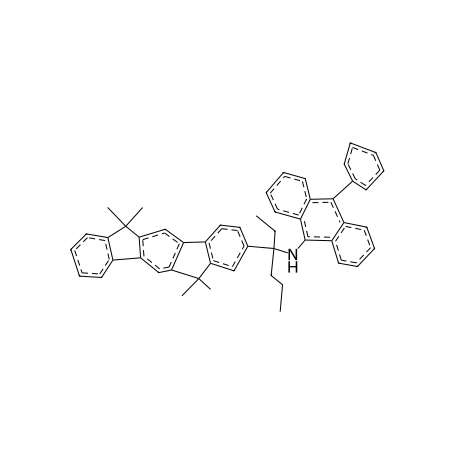 CCCC(CC)(Nc1c2ccccc2c(-c2ccccc2)c2ccccc12)c1ccc2c(c1)C(C)(C)c1cc3c(cc1-2)C(C)(C)c1ccccc1-3